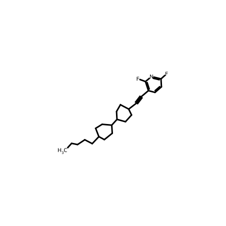 CCCCCC1CCC(C2CCC(C#Cc3ccc(F)nc3F)CC2)CC1